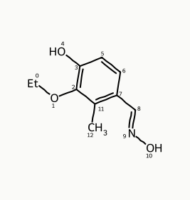 CCOc1c(O)ccc(C=NO)c1C